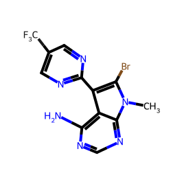 Cn1c(Br)c(-c2ncc(C(F)(F)F)cn2)c2c(N)ncnc21